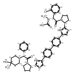 CN(C(=O)O)[C@@H](C(=O)N1CCC[C@H]1c1ncc(-c2ccc(-c3ccc(-c4cnc([C@@H]5CCCN5C(=O)[C@@H](c5ccccc5)N5CCC(C)(O)CC5)[nH]4)cc3)cc2)[nH]1)c1ccccc1Cl